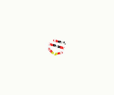 C=O.O=C=O.O=S=O